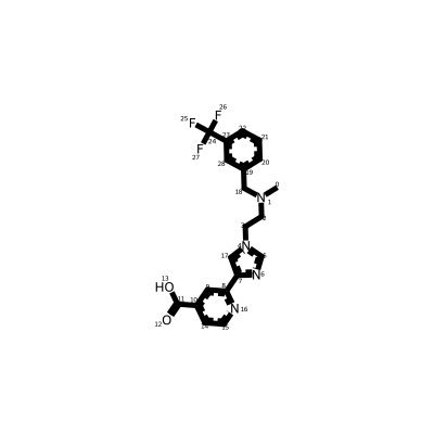 CN(CCn1cnc(-c2cc(C(=O)O)ccn2)c1)Cc1cccc(C(F)(F)F)c1